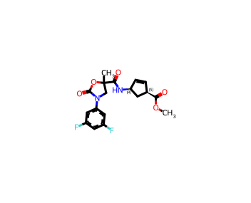 COC(=O)[C@@H]1C=C[C@H](NC(=O)C2(C)CN(c3cc(F)cc(F)c3)C(=O)O2)C1